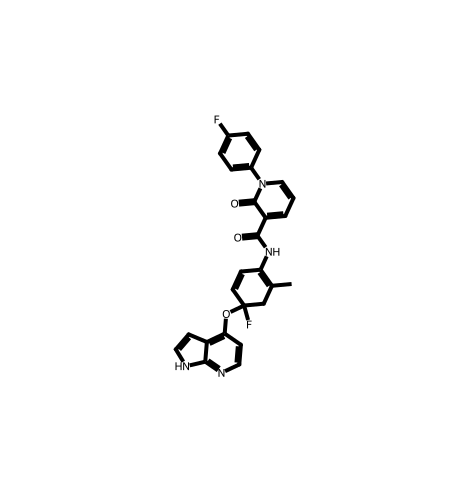 CC1=C(NC(=O)c2cccn(-c3ccc(F)cc3)c2=O)C=CC(F)(Oc2ccnc3[nH]ccc23)C1